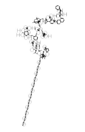 COCCOCCOCCOCCOCCOCCOCCOCCOCCOCCOCCOCCn1cc([C@@H](CC(=O)N[C@H](C(=O)N[C@@H](C)C(=O)Nc2ccc(COC(=O)N(CCOC34CC5(C)CC(C)(CC(Cn6cc(-c7ccc(N8CCc9cccc(C(=O)Nc%10nc%11ccccc%11s%10)c9C8)nc7C(=O)O)cn6)(C5)C3)C4)CCS(=O)(=O)O)c(CC[C@@H]3O[C@H](C(=O)O)[C@@H](O)[C@H](O)[C@H]3O)c2)C(C)C)N2C(=O)C=CC2=O)nn1